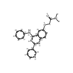 CN(C)C(=O)COc1ccc2nc(-c3cccnc3)nc(Nc3ccccc3)c2c1